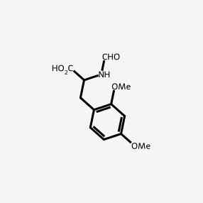 COc1ccc(CC(NC=O)C(=O)O)c(OC)c1